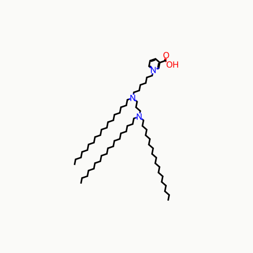 CCCCCCCCCCCCCCCCCCN(CCCCCCCCCCCCCCCCCC)CCCN(CCCCCCCCCCCCCCCCCC)CCCCCC[n+]1cccc(C(=O)O)c1